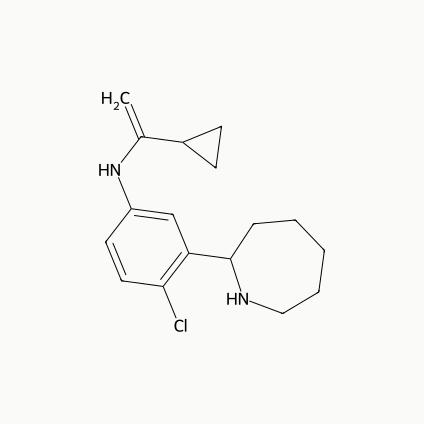 C=C(Nc1ccc(Cl)c(C2CCCCCN2)c1)C1CC1